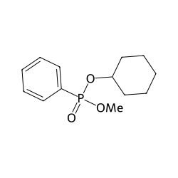 COP(=O)(OC1CCCCC1)c1ccccc1